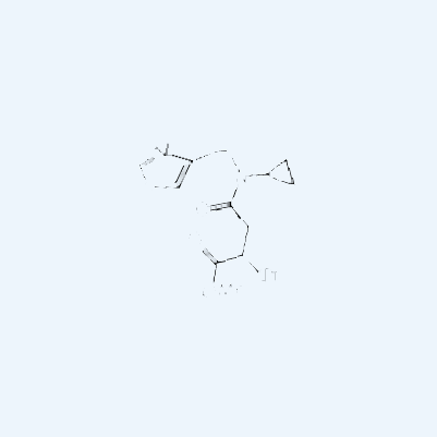 COC(=O)[C@@H](CC(=O)N(Cc1cscn1)C1CC1)C(C)C